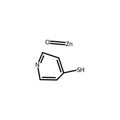 Sc1ccncc1.[O]=[Zn]